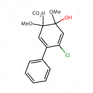 COC1(O)C=C(Cl)C(c2ccccc2)=CC1(OC)C(=O)O